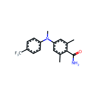 Cc1cc(N(C)c2ccc(C(F)(F)F)cc2)cc(C)c1C(N)=O